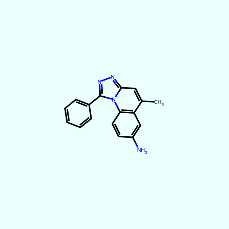 Cc1cc2nnc(-c3ccccc3)n2c2ccc(N)cc12